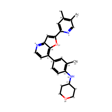 CC(=O)c1cnc(-c2cc3nccc(-c4ccc(NC5CCOCC5)c(C#N)c4)c3o2)cc1C